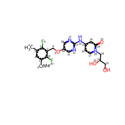 COc1cc(C)c(F)c(COc2cnc(Nc3ccn(C[C@H](O)CO)c(=O)c3)nc2)c1F